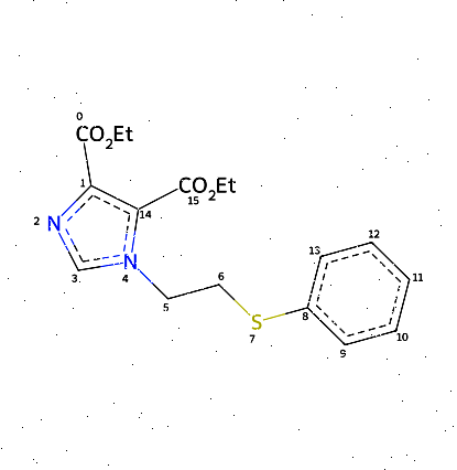 CCOC(=O)c1ncn(CCSc2ccccc2)c1C(=O)OCC